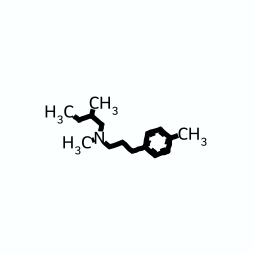 CCC(C)CN(C)CCCc1ccc(C)cc1